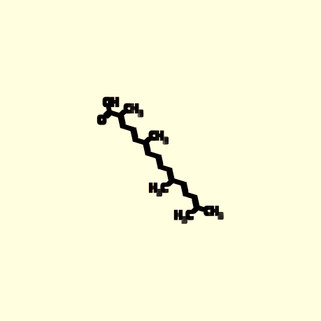 CC(C)=C/C=C/C(C)=C/C=C/C=C(C)/C=C/C=C(\C)C(=O)O